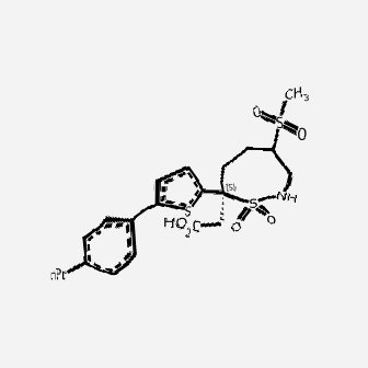 CCCc1ccc(-c2ccc([C@@]3(CC(=O)O)CCC(S(C)(=O)=O)CNS3(=O)=O)s2)cc1